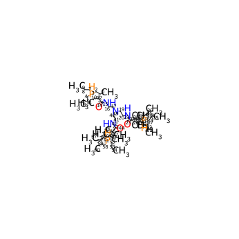 CCC[PH](CCC)(CCC)C(C)CC(=O)NCCN(CCNC(=O)C(C)(C)C(C)(C)[PH](CCC)(CCC)CCC)CCNC(=O)C(C)(C)C(C)(C)[PH](CCC)(CCC)CCC